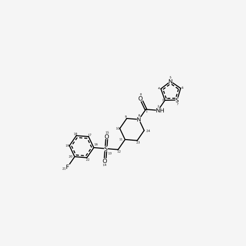 O=C(Nc1cncs1)N1CCC(CS(=O)(=O)c2cccc(F)c2)CC1